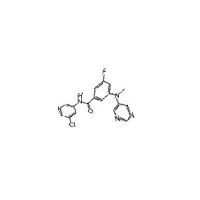 CN(c1cncnc1)c1cc(F)cc(C(=O)Nc2cncc(Cl)c2)c1